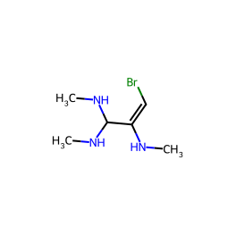 CNC(=CBr)C(NC)NC